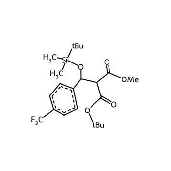 COC(=O)C(C(=O)OC(C)(C)C)C(O[Si](C)(C)C(C)(C)C)c1ccc(C(F)(F)F)cc1